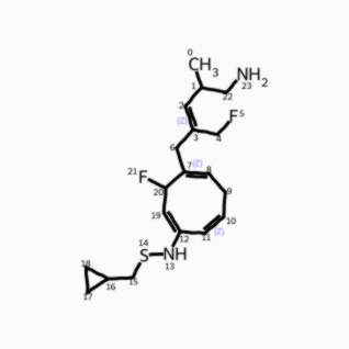 CC(/C=C(\CF)C/C1=C/C/C=C\C(NSCC2CC2)=CC1F)CN